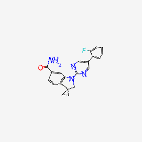 NC(=O)c1ccc2c(c1)N(c1ncc(-c3ccccc3F)cn1)CC21CC1